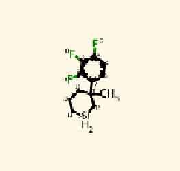 CC1(c2ccc(F)c(F)c2F)CCC[SiH2]C1